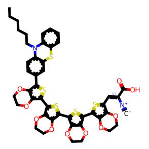 [C-]#[N+]/C(=C\c1sc(-c2sc(-c3sc(-c4sc(-c5ccc6c(c5)Sc5ccccc5N6CCCCCC)c5c4OCCO5)c4c3OCCO4)c3c2OCCO3)c2c1OCCO2)C(=O)O